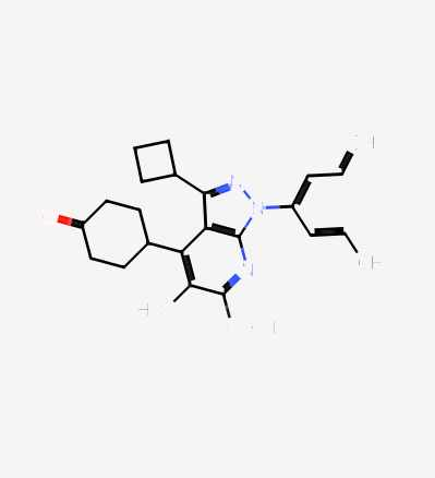 C=CC=C(C=CC)n1nc(C2CCC2)c2c(C3CCC(=O)CC3)c(C)c(C(=O)O)nc21